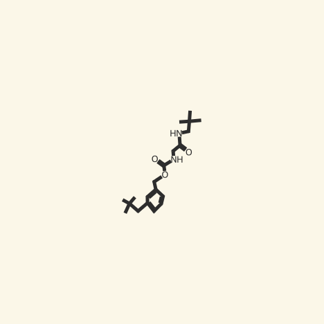 CC(C)(C)CNC(=O)CNC(=O)OCc1cccc(CC(C)(C)C)c1